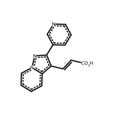 O=C(O)/C=C/c1c(-c2cccnc2)nn2ccccc12